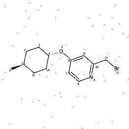 C[C@H]1CC[C@H](Oc2ccnc(CBr)c2)CC1